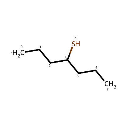 [CH2]CCC(S)CCC